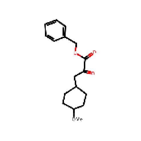 COC1CCC(CC(=O)C(=O)OCc2ccccc2)CC1